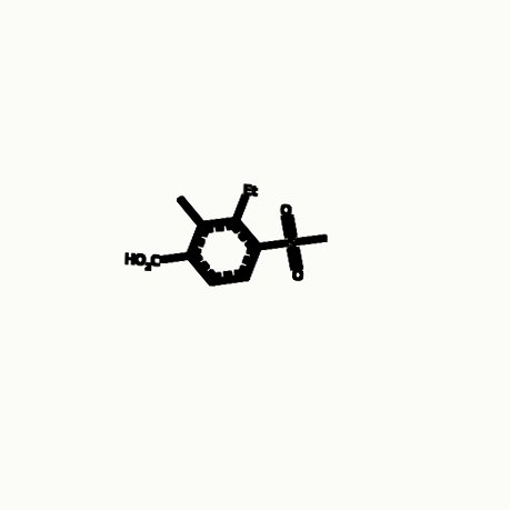 CCc1c(S(C)(=O)=O)ccc(C(=O)O)c1C